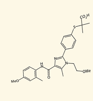 COCCn1c(-c2ccc(SC(C)(C)C(=O)O)cc2)nc(C(=O)Nc2ccc(OC)cc2C)c1C